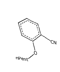 [CH2]CCCCOc1ccccc1C#N